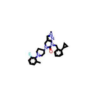 Cc1cccc(F)c1N1CCC(N2Cc3cn(C)nc3N(Cc3ccccc3C3CC3)C2=O)CC1